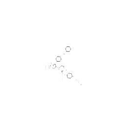 CN(C)CCOc1ccc(Nc2nccc(-c3c[nH]nc3-c3ccc(OCc4ccccc4)cc3)n2)cc1